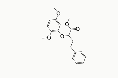 COC(=O)C(CCc1ccccc1)Oc1cc(OC)ccc1OC